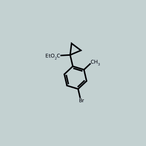 CCOC(=O)C1(c2ccc(Br)cc2C)CC1